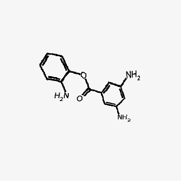 Nc1cc(N)cc(C(=O)Oc2ccccc2N)c1